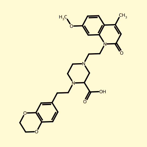 COc1ccc2c(C)cc(=O)n(CCN3CCN(CCc4ccc5c(c4)OCCO5)C(C(=O)O)C3)c2c1